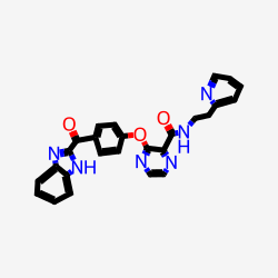 O=C(c1ccc(Oc2nccnc2C(=O)NCCc2ccccn2)cc1)c1nc2ccccc2[nH]1